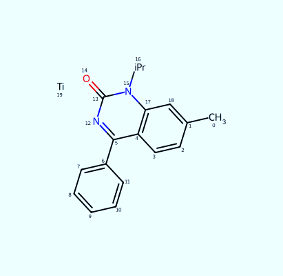 Cc1ccc2c(-c3ccccc3)nc(=O)n(C(C)C)c2c1.[Ti]